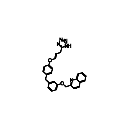 C(=C\Oc1ccc(Cc2cccc(OCc3ccc4ccccc4n3)c2)cc1)/Cc1nnn[nH]1